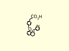 O=C(O)CCc1ccc(COc2cccc3c2N(Cc2cccnc2)CCC3)cc1